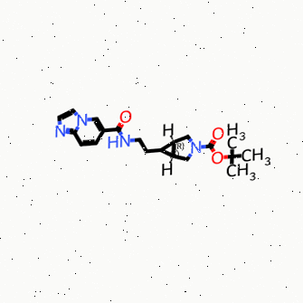 CC(C)(C)OC(=O)N1C[C@@H]2C(CCNC(=O)c3ccc4nccn4c3)[C@@H]2C1